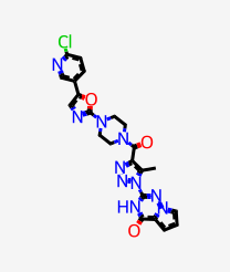 Cc1c(C(=O)N2CCN(c3ncc(-c4ccc(Cl)nc4)o3)CC2)nnn1-c1nn2cccc2c(=O)[nH]1